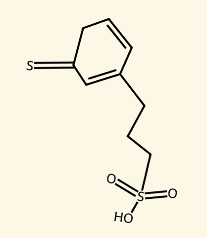 O=S(=O)(O)CCCC1=CC(=S)CC=C1